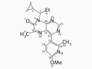 CCC(C1CC1)n1c(=O)c(C)nc2c(-c3ccc(OC)nc3C)ncnc21